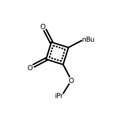 CCCCc1c(OC(C)C)c(=O)c1=O